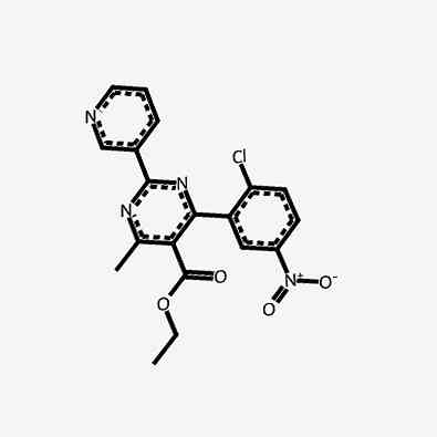 CCOC(=O)c1c(C)nc(-c2cccnc2)nc1-c1cc([N+](=O)[O-])ccc1Cl